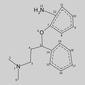 CN(C)CCC(Oc1ccccc1N)c1ccccc1